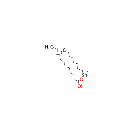 CCCCCCCCCCCC(=O)O.CCCCCCC[CH2][Sn]